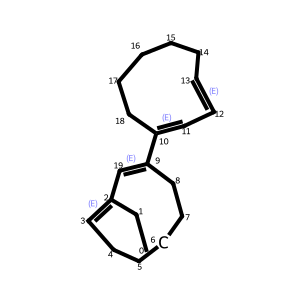 CCC1=C\CCCCCC(/C2=C/C=C/CCCCC2)=C\1